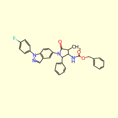 CC1C(=O)N(c2ccc3c(cnn3-c3ccc(F)cc3)c2)C(c2ccccc2)C1NC(=O)OCc1ccccc1